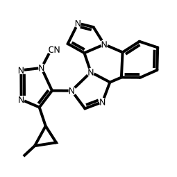 CC1CC1c1nnn(C#N)c1N1C=NC2c3ccccc3-n3cncc3N21